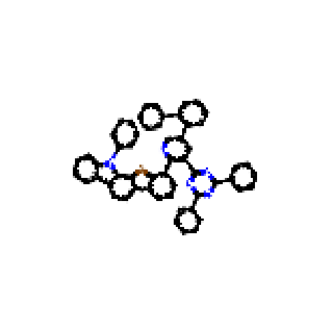 c1ccc(-c2nc(-c3ccccc3)nc(-c3cc(-c4ccccc4-c4ccccc4)cnc3-c3cccc4c3sc3c4ccc4c5ccccc5n(-c5ccccc5)c43)n2)cc1